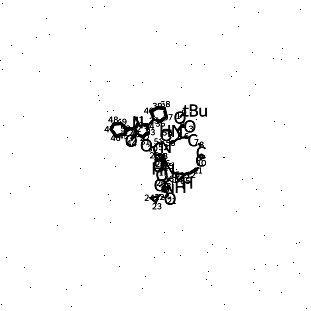 CC(C)(C)OC(=O)N[C@H]1CCCCC/C=C\[C@@H]2C[C@@]2(C(=O)NS(=O)(=O)C2CC2)NC(=O)[C@@H]2C[C@@H](Oc3cc(-c4ccccc4)nc4c3oc3ccccc34)CN2C1=O